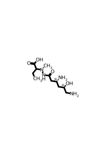 CCC(C(=O)O)N(C)NC(=O)C[C@H](N)C[C@@H](O)CN